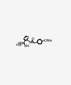 COc1ccc(CC(=O)Nc2sccc2C(=N)NO)cc1